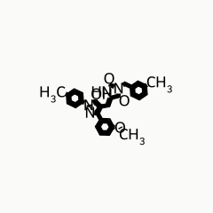 COc1cccc(-c2nn(-c3ccc(C)cc3)c(O)c2/C=C2\NC(=O)N(Cc3cccc(C)c3)C2=O)c1